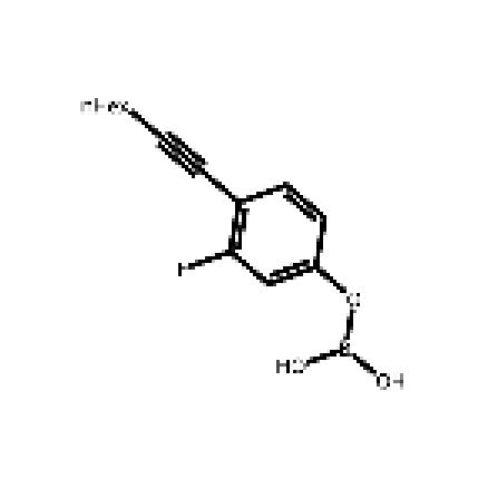 CCCCCCC#Cc1ccc(OB(O)O)cc1F